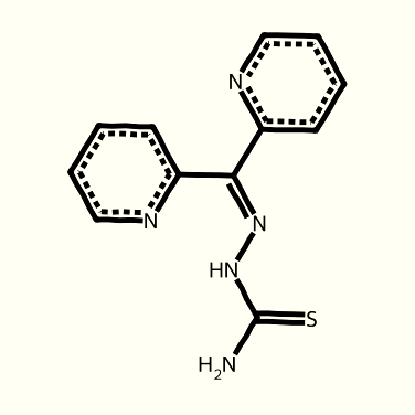 NC(=S)NN=C(c1ccccn1)c1ccccn1